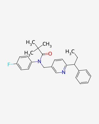 CCC(c1ccccc1)c1ccc(CN(C(=O)C(C)(C)C)c2ccc(F)cc2)cn1